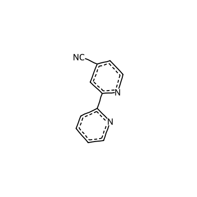 N#Cc1ccnc(-c2ccccn2)c1